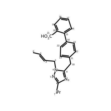 CC=CCn1nc(C(C)C)nc1Cc1ccc(-c2ccccc2C(=O)O)cc1